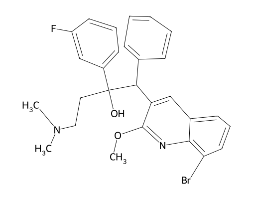 COc1nc2c(Br)cccc2cc1C(c1ccccc1)C(O)(CCN(C)C)c1cccc(F)c1